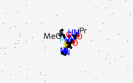 C/C=C(\CC(F)n1c(=O)n(C(C)(C)C(=O)NC(C)C)c(=O)c2c(C)c(-n3nccn3)sc21)OC